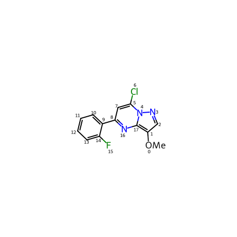 COc1cnn2c(Cl)cc(-c3ccccc3F)nc12